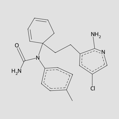 Cc1ccc(N(C(N)=O)C2(CCc3cc(Cl)cnc3N)C=CC=CC2)cc1